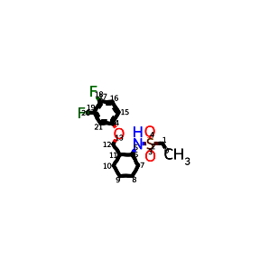 CCS(=O)(=O)NC1CCCCC1COc1ccc(F)c(F)c1